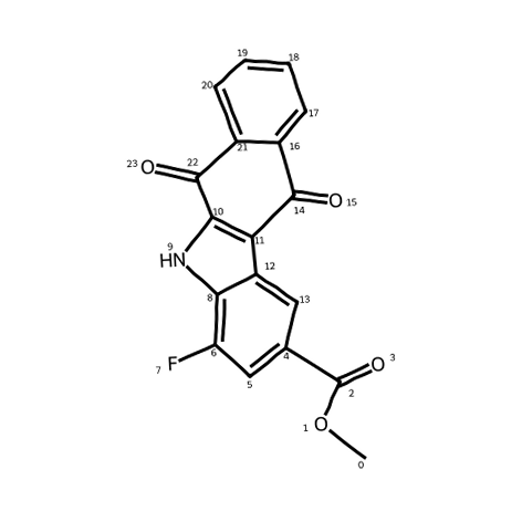 COC(=O)c1cc(F)c2[nH]c3c(c2c1)C(=O)c1ccccc1C3=O